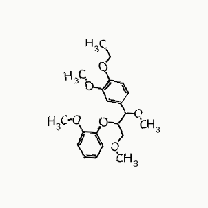 CCOc1ccc(C(OC)C(COC)Oc2ccccc2OC)cc1OC